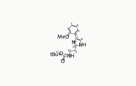 COc1ccccc1-c1c[nH]c(CCNC(=O)OC(C)(C)C)n1